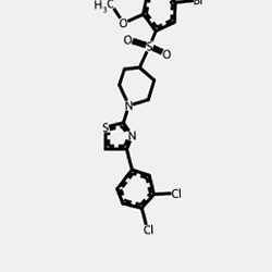 COc1ccc(Br)cc1S(=O)(=O)C1CCN(c2nc(-c3ccc(Cl)c(Cl)c3)cs2)CC1